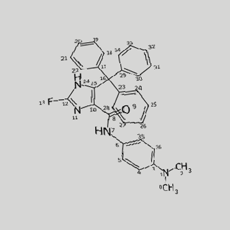 CN(C)c1ccc(NC(=O)c2nc(F)[nH]c2C(c2ccccc2)(c2ccccc2)c2ccccc2)cc1